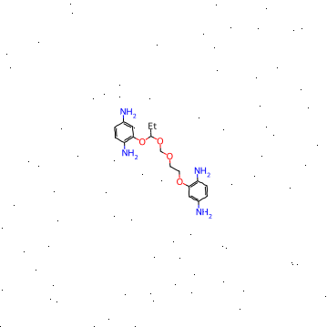 CCC(OCOCCOc1cc(N)ccc1N)Oc1cc(N)ccc1N